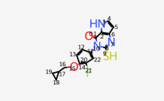 O=c1c2[nH]ccc2nc(S)n1-c1ccc(OCC2CC2)c(F)c1